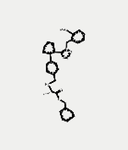 COc1ccccc1Cn1nnnc1-c1ccccc1-c1ccc(CN[C@H](C(=O)OCc2ccccc2)C(C)C)cc1